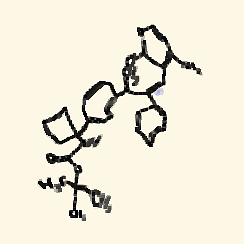 C=C(/C(=C\c1c(N)ccnc1Cl)c1ccccc1)c1ccc(C2(NC(=O)OC(C)(C)C)CCC2)cc1